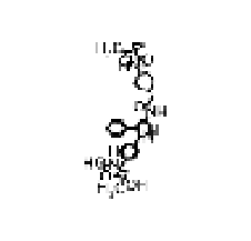 CC(C)C1(C(=O)N[C@H]2CC[C@H](CC(=O)Nc3cc(-c4ccccc4)c(-c4ccc([C@]5(NC(=O)O)C[C@](C)(O)C5)cc4)nn3)CC2)CC1